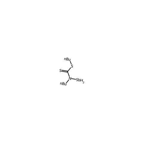 CCCCSC(=S)[N]([SbH2])CCCC